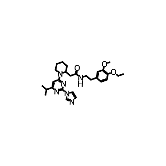 CCOc1ccc(CCNC(=O)CC2CCCCN2c2cc(C(C)C)nc(-n3ccnc3)n2)cc1OC